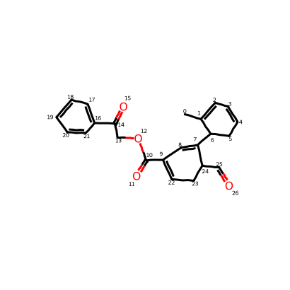 CC1=CC=CCC1C1=CC(C(=O)OCC(=O)c2ccccc2)=CCC1C=O